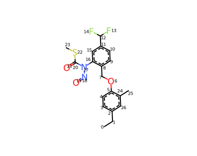 CCc1ccc(OCc2ccc(C(F)F)cc2N(N=O)C(=O)SC)c(C)c1